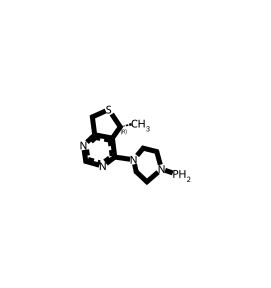 C[C@H]1SCc2ncnc(N3CCN(P)CC3)c21